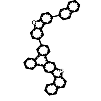 c1ccc2cc(-c3ccc4oc5ccc(-c6ccc7c(c6)c6ccccc6c6cc8c(cc76)sc6ccc7ccccc7c68)cc5c4c3)ccc2c1